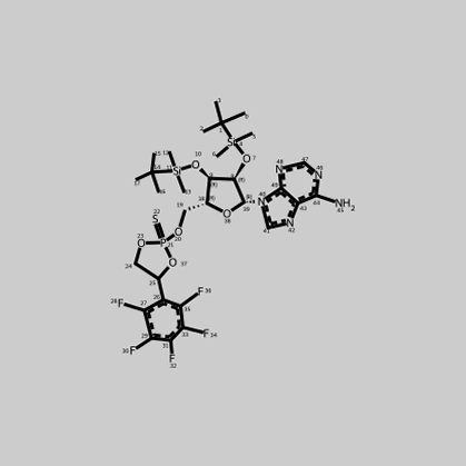 CC(C)(C)[Si](C)(C)O[C@@H]1[C@H](O[Si](C)(C)C(C)(C)C)[C@@H](COP2(=S)OCC(c3c(F)c(F)c(F)c(F)c3F)O2)O[C@H]1n1cnc2c(N)ncnc21